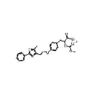 COC(=O)OC(Cc1ccc(OCCc2nc(-c3ccccc3)oc2C)cc1)C(N)=O